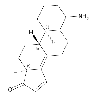 C[C@]12CC[C@H]3C(=C1C=CC2=O)CCC1C(N)CCC[C@@]13C